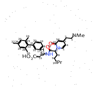 CNCCc1ccn(C(CCC(C)C)C(=O)N[Si@@H](CC(=O)O)c2cccc(-c3c(C)cc(C)cc3C)c2)c(=O)c1